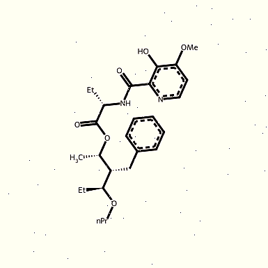 CCCO[C@@H](CC)[C@@H](Cc1ccccc1)[C@H](C)OC(=O)[C@H](CC)NC(=O)c1nccc(OC)c1O